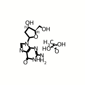 CP(=O)(O)O.Nc1nc2c(ncn2C2C[C@H](O)[C@@H](CO)O2)c(=O)[nH]1